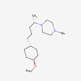 CCCC(C)O[C@H]1CC[C@H](CCC[C@H](C)N2CCN(C(C)CC)CC2)CC1